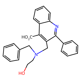 O=C(O)c1c(CN(CCO)Cc2ccccc2)c(-c2ccccc2)nc2ccccc12